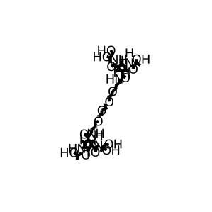 CC(O)C(=O)Nc1c(I)c(C(=O)NCCCOCCOCCOCCOCCCNC(=O)c2c(I)c(NC(=O)C(C)O)c(I)c(C(=O)NC(C)(O)CO)c2I)c(I)c(C(=O)NC(C)(O)CO)c1I